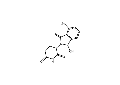 CC(C)(C)c1cccc2c1C(=O)N(C1CCC(=O)NC1=O)C2O